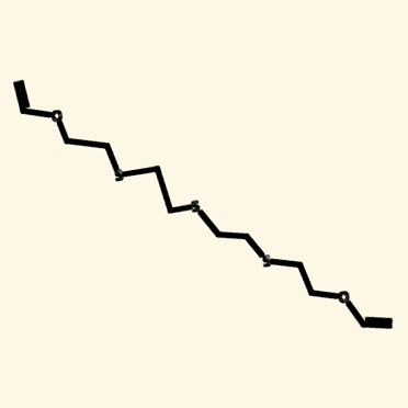 C=COCCSCCSCCSCCOC=C